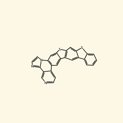 c1ccc2c(c1)sc1cc3sc4cc5c(cc4c3cc12)c1ccncc1c1nccn51